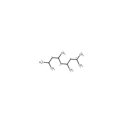 CC(C)CC(C)[N]C(C)CC(C)C